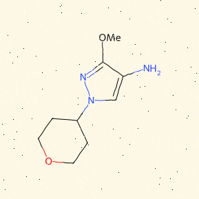 COc1nn(C2CCOCC2)cc1N